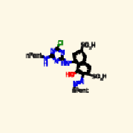 CCCCCN=Nc1c(S(=O)(=O)O)cc2cc(S(=O)(=O)O)cc(Nc3nc(Cl)nc(NCCCCC)n3)c2c1O